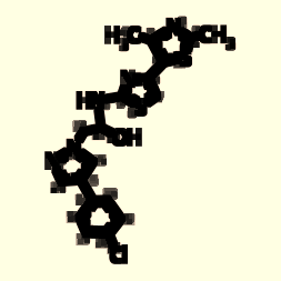 Cc1nc(C)c(-c2csc(NC(O)Cn3cc(-c4ccc(Cl)cc4)cn3)n2)s1